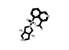 O=S(=O)(c1cccc2cncc(C(F)F)c12)N1C[C@H]2CNC[C@H]2C1